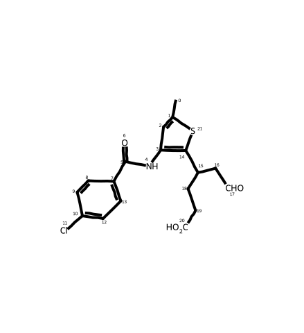 Cc1cc(NC(=O)c2ccc(Cl)cc2)c(C(CC=O)CCC(=O)O)s1